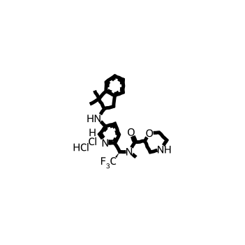 CN(C(=O)C1CNCCO1)[C@@H](c1ccc(NC2Cc3ccccc3C2(C)C)cn1)C(F)(F)F.Cl.Cl